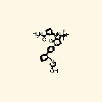 NC(=O)c1cccc(-n2nc(C(F)(F)F)c3c2C(=O)N(c2ccc(-c4ccccc4CN4CCC(O)C4)cc2)CC3)c1